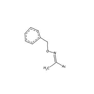 CC(=O)C(C)=NOCc1ccccc1